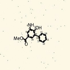 COC(=O)c1cc(N)c(O)c(-c2ccccc2)c1